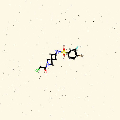 O=C(CCl)N1CC2(CC(NS(=O)(=O)c3ccc(Br)c(F)c3)C2)C1